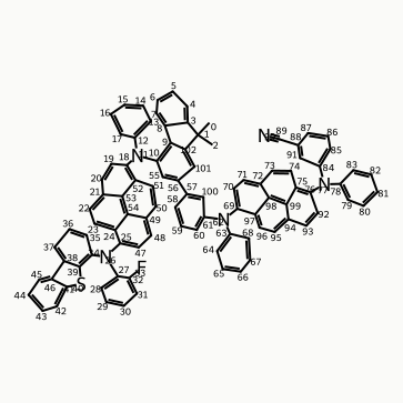 CC1(C)c2ccccc2-c2c(N(c3ccccc3)c3ccc4ccc5c(N(c6ccccc6F)c6cccc7c6sc6ccccc67)ccc6ccc3c4c65)cc(-c3cccc(N(c4ccccc4)c4ccc5ccc6c(N(c7ccccc7)c7cccc(C#N)c7)ccc7ccc4c5c76)c3)cc21